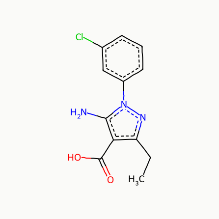 CCc1nn(-c2cccc(Cl)c2)c(N)c1C(=O)O